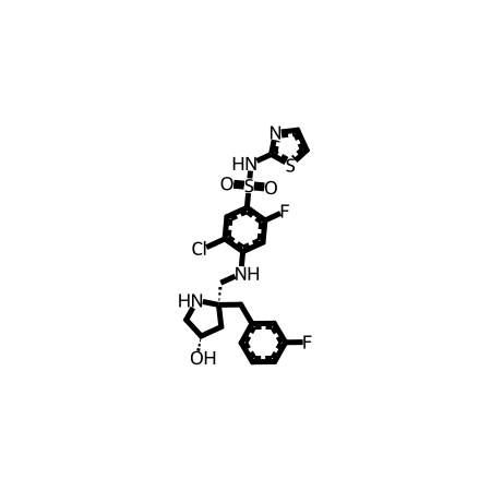 O=S(=O)(Nc1nccs1)c1cc(Cl)c(NC[C@]2(Cc3cccc(F)c3)C[C@H](O)CN2)cc1F